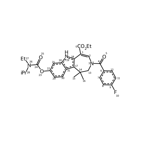 CCOC(=O)C1=CN(C(=O)c2ccc(F)cc2)CC(C)(C)c2c1[nH]c1cc(OC(=O)N(CC)C(C)C)ccc21